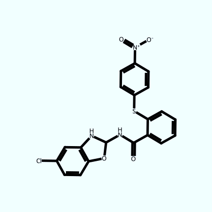 O=C(NC1Nc2cc(Cl)ccc2O1)c1ccccc1Sc1ccc([N+](=O)[O-])cc1